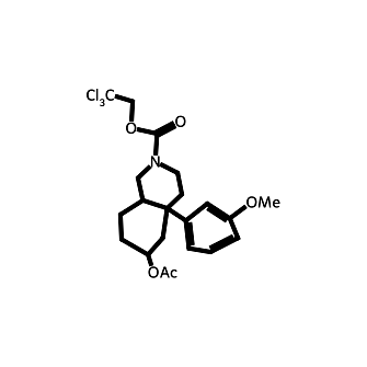 COc1cccc(C23CCN(C(=O)OCC(Cl)(Cl)Cl)CC2CCC(OC(C)=O)C3)c1